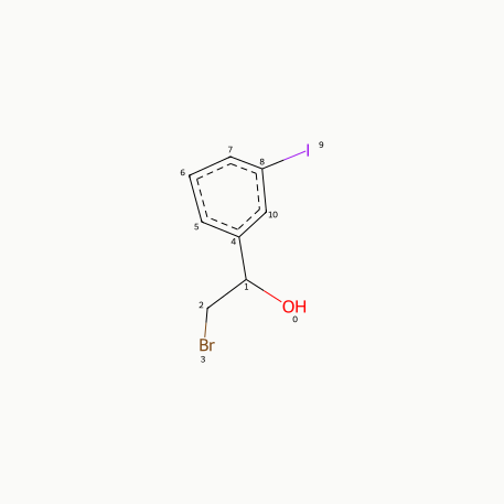 OC(CBr)c1cccc(I)c1